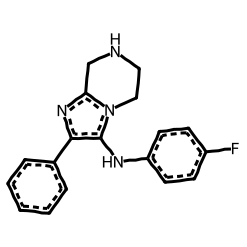 Fc1ccc(Nc2c(-c3ccccc3)nc3n2CCNC3)cc1